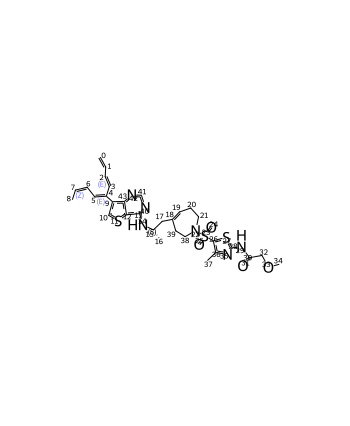 C=C/C=C/C(=C\C=C/C)c1csc2c(N[C@@H](C)CC3=CCCN(S(=O)(=O)c4sc(NC(=O)COC)nc4C)CC3)ncnc12